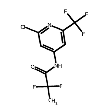 CC(F)(F)C(=O)Nc1cc(Cl)nc(C(F)(F)F)c1